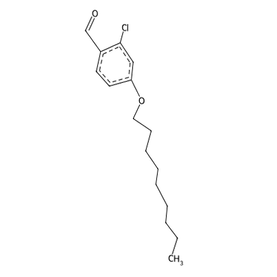 CCCCCCCCCOc1ccc(C=O)c(Cl)c1